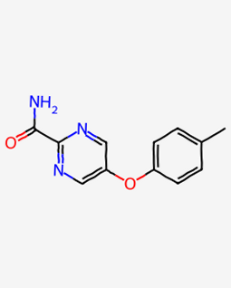 Cc1ccc(Oc2cnc(C(N)=O)nc2)cc1